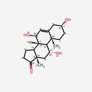 C[C@]12CC[C@H](O)CC1=C[C@H](O)[C@@H]1C2[C@H](O)C[C@]2(C)C(=O)CCC12